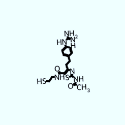 CC(=O)Nc1nc(CCc2ccc(NC(=N)N)cc2)c(C(=O)NCCS)s1